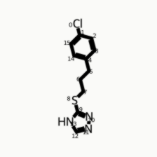 Clc1ccc(CCCSc2nnc[nH]2)cc1